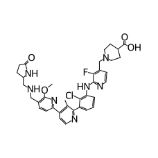 COc1nc(-c2ccnc(-c3cccc(Nc4nccc(CN5CCC(C(=O)O)CC5)c4F)c3Cl)c2C)ccc1CNCC1CCC(=O)N1